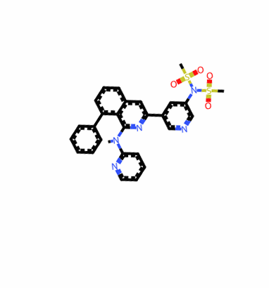 CN(c1ccccn1)c1nc(-c2cncc(N(S(C)(=O)=O)S(C)(=O)=O)c2)cc2cccc(-c3ccccc3)c12